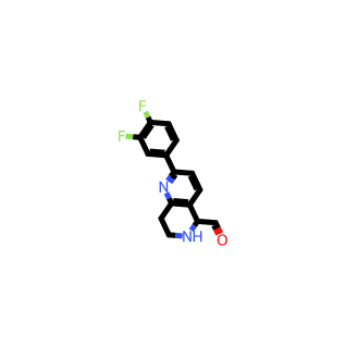 O=CC1NCCc2nc(-c3ccc(F)c(F)c3)ccc21